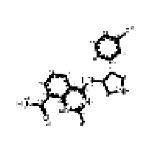 Cc1nc(N[C@@H]2CNC[C@H]2c2cccc(F)c2)c2cccc(C(N)=O)c2n1